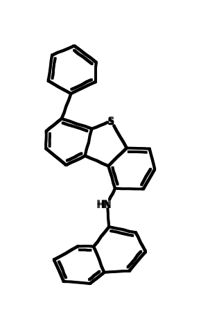 c1ccc(-c2cccc3c2sc2cccc(Nc4cccc5ccccc45)c23)cc1